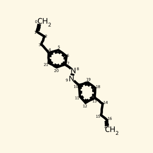 C=CCCc1ccc(N=Nc2ccc(CCC=C)cc2)cc1